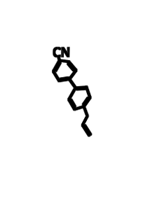 C=CCc1ccc(-c2ccc(C#N)cc2)cc1